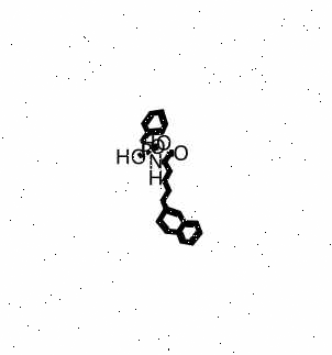 O=C(O)C(CCCCc1ccc2ccccc2c1)NP(=O)(O)Cc1ccccc1